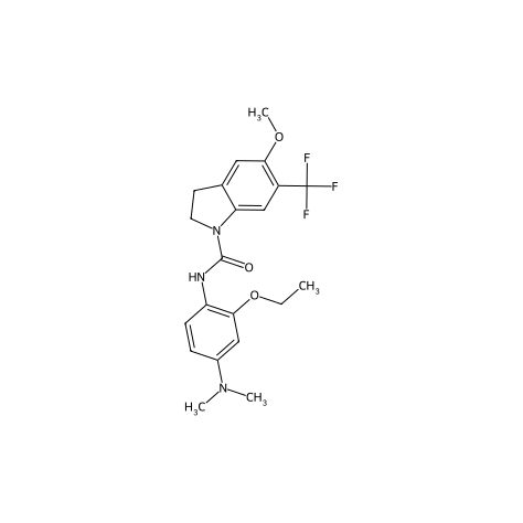 CCOc1cc(N(C)C)ccc1NC(=O)N1CCc2cc(OC)c(C(F)(F)F)cc21